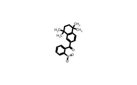 CC1(C)CCC(C)(C)c2cc(C(=O)c3ccccc3[N+](=O)[O-])ccc21